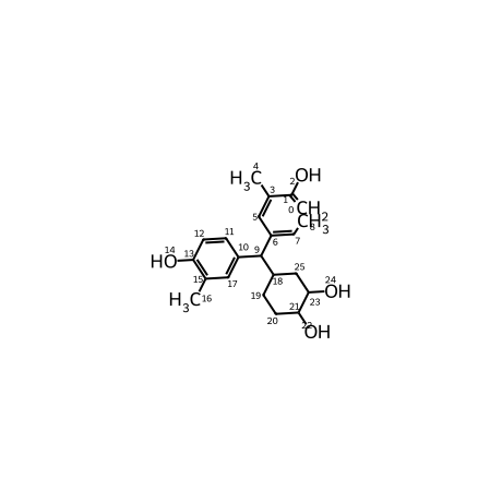 C=C(O)/C(C)=C\C(=C/C)C(c1ccc(O)c(C)c1)C1CCC(O)C(O)C1